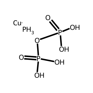 O=P(O)(O)OP(=O)(O)O.P.[Cu]